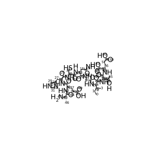 CC[C@H](C)[C@H](NC(=O)CNC(=O)[C@H](CC(N)=O)NC(=O)[C@H](CS)NC(=O)[C@H](Cc1c[nH]cn1)NC(=O)[C@H](CCC(=O)O)NC(=O)[C@H](C)N)C(=O)N[C@H](C(=O)N[C@@H](CCC(=O)O)C(=O)O)[C@@H](C)O